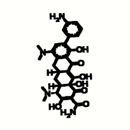 CN(C)c1cc(-c2cccc(N)c2)c(O)c2c1C[C@H]1C[C@H]3[C@@H](N(C)C)C(O)=C(C(N)=O)C(=O)[C@@]3(O)C(O)=C1C2=O